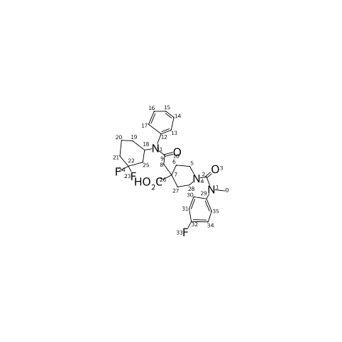 CN(C(=O)N1CCC(CC(=O)N(c2ccccc2)C2CCCC(F)(F)C2)(C(=O)O)CC1)c1ccc(F)cc1